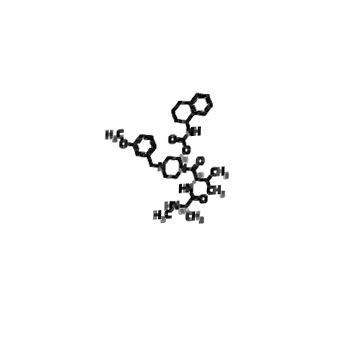 CN[C@@H](C)C(=O)N[C@H](C(=O)N1CCN(Cc2cccc(OC)c2)C[C@@H]1OC(=O)NC1CCCc2ccccc21)C(C)C